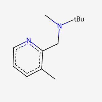 Cc1cccnc1CN(C)C(C)(C)C